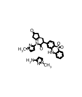 Cn1ccc(N)n1.Cn1ccc(NC(=O)C(C[C@H]2CCC(=O)C2)c2ccc3c(c2)Nc2ccccc2S3(=O)=O)n1